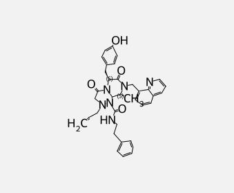 C=CCN1CC(=O)N2C([C@H](C)N(Cc3cccc4cccnc34)C(=O)[C@@H]2Cc2ccc(O)cc2)N1C(=O)NCCc1ccccc1